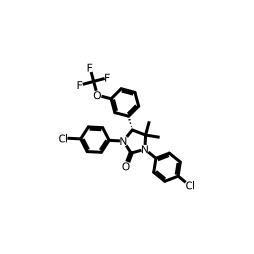 CC1(C)[C@@H](c2cccc(OC(F)(F)F)c2)N(c2ccc(Cl)cc2)C(=O)N1c1ccc(Cl)cc1